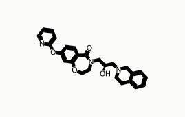 O=C1c2ccc(Oc3ccccn3)cc2OCCN1C[C@H](O)CN1CCc2ccccc2C1